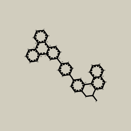 CC1Cc2ccc(-c3ccc(-c4ccc5c6ccccc6c6ccccc6c5c4)cc3)cc2-c2c1ccc1ccccc21